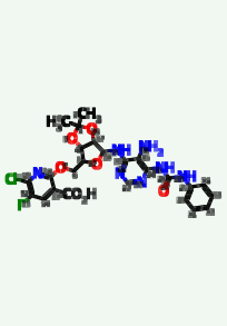 CC1(C)OC2C(COc3nc(Cl)c(F)cc3C(=O)O)OC(Nc3ncnc(NC(=O)Nc4ccccc4)c3N)C2O1